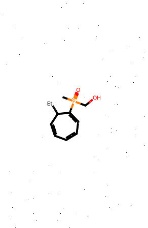 CCC1C=CC=CC=C1P(C)(=O)CO